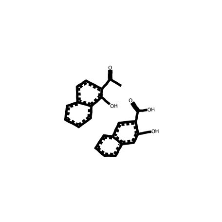 CC(=O)c1ccc2ccccc2c1O.O=C(O)c1cc2ccccc2cc1O